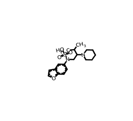 CC(C)C(CN(c1ccc2occc2c1)S(=O)(=O)O)N1CCCCC1